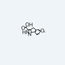 COc1ccc2c(c1)Cc1c-2n[nH]c1C(=O)O